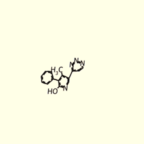 Cc1c(-c2ccnnn2)cnc(O)c1-c1ccccc1